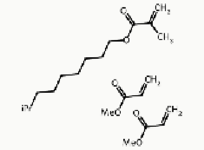 C=C(C)C(=O)OCCCCCCCC(C)C.C=CC(=O)OC.C=CC(=O)OC